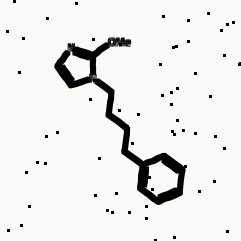 COc1nccn1CCCCc1ccccc1